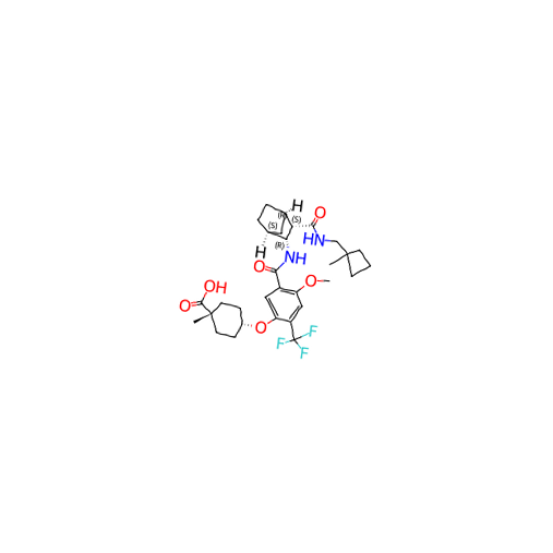 COc1cc(C(F)(F)F)c(O[C@H]2CC[C@@](C)(C(=O)O)CC2)cc1C(=O)N[C@@H]1[C@H]2CC[C@H](C2)[C@@H]1C(=O)NCC1(C)CCC1